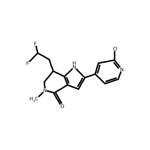 CN1CC(CC(F)F)c2[nH]c(-c3ccnc(Cl)c3)cc2C1=O